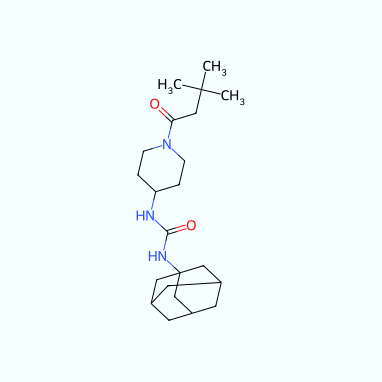 CC(C)(C)CC(=O)N1CCC(NC(=O)NC23CC4CC(CC(C4)C2)C3)CC1